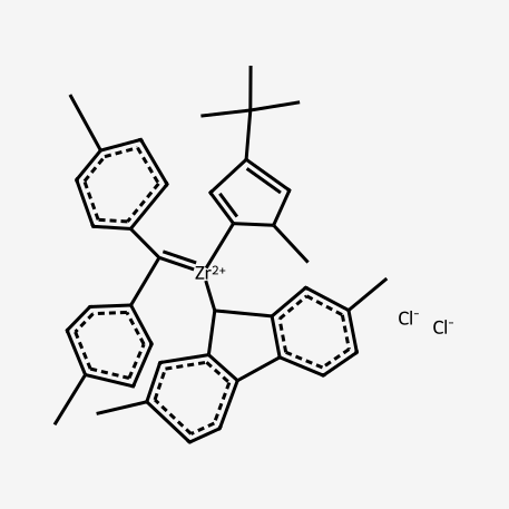 Cc1ccc([C](c2ccc(C)cc2)=[Zr+2]([C]2=CC(C(C)(C)C)=CC2C)[CH]2c3cc(C)ccc3-c3ccc(C)cc32)cc1.[Cl-].[Cl-]